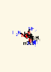 CCCCCCCCNC(=O)CC[C@@H](C)[C@H]1CC[C@H]2[C@@H]3[C@H](OCCCN)C[C@@H]4CC(OCCCN)CC[C@]4(C)[C@H]3C[C@H](OCCCN)[C@]12C